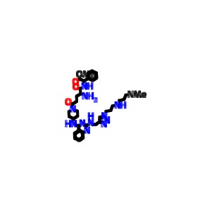 CNCCCNCCCn1cc(CNc2nc(NC3CCN(C(=O)CC[C@H](N)C(=O)N[C@H](C(=O)OC)c4ccccc4)CC3)c3ccccc3n2)nn1